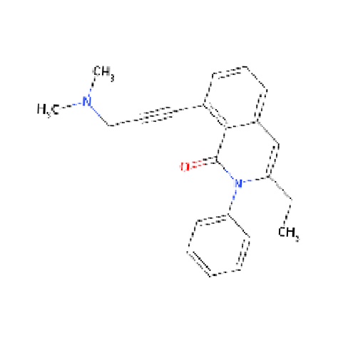 CCc1cc2cccc(C#CCN(C)C)c2c(=O)n1-c1ccccc1